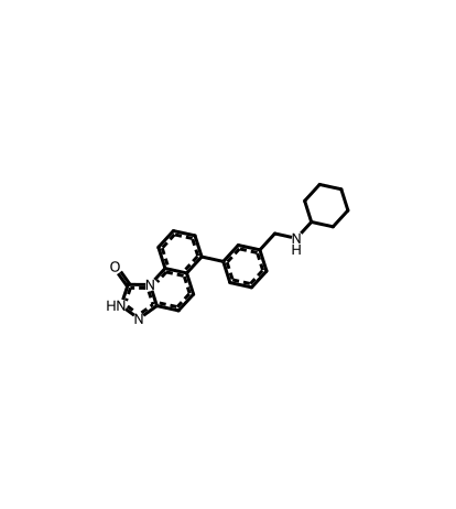 O=c1[nH]nc2ccc3c(-c4cccc(CNC5CCCCC5)c4)cccc3n12